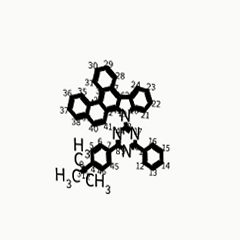 CC(C)(C)c1ccc(-c2nc(-c3ccccc3)nc(-n3c4ccccc4c4c5ccccc5c5c6ccccc6ccc5c43)n2)cc1